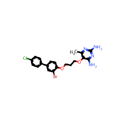 Cc1nc(N)nc(N)c1OCCCOc1ccc(-c2ccc(Cl)cc2)cc1Br